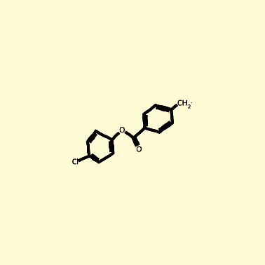 [CH2]c1ccc(C(=O)Oc2ccc(Cl)cc2)cc1